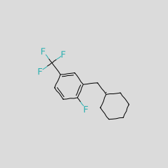 Fc1ccc(C(F)(F)F)cc1C[C]1CCCCC1